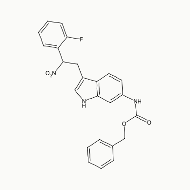 O=C(Nc1ccc2c(CC(c3ccccc3F)[N+](=O)[O-])c[nH]c2c1)OCc1ccccc1